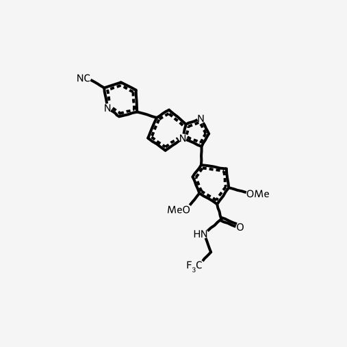 COc1cc(-c2cnc3cc(-c4ccc(C#N)nc4)ccn23)cc(OC)c1C(=O)NCC(F)(F)F